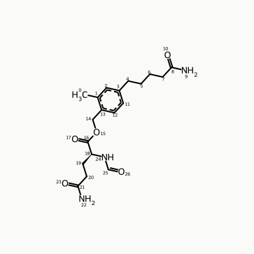 Cc1cc(CCCCC(N)=O)ccc1COC(=O)[C@H](CCC(N)=O)NC=O